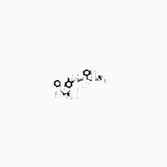 CCCCC1(CC)C(=O)[SH]c2cc(OCC(=O)NC(C(=O)NCP(C)(=O)OCC)c3ccccc3)c(SC)cc2N(c2ccccc2)C1=O